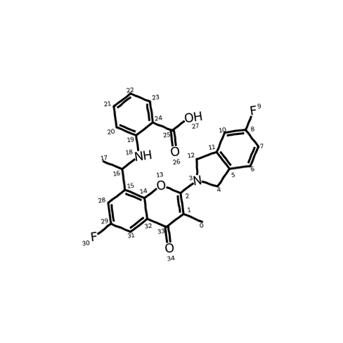 Cc1c(N2Cc3ccc(F)cc3C2)oc2c(C(C)Nc3ccccc3C(=O)O)cc(F)cc2c1=O